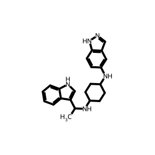 CC(NC1CCC(Nc2ccc3[nH]ncc3c2)CC1)c1c[nH]c2ccccc12